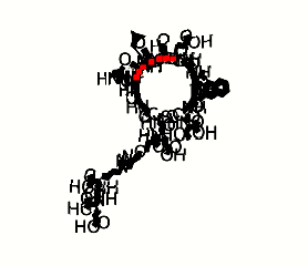 CC(C)[C@@H]1NC(=O)[C@@H]2CCCCn3cc(nn3)CC[C@H](NC(=O)[C@H](C)NC(=O)C[C@H](NC(=O)[C@H](CCC(=O)O)NC(=O)CCOCc3cn(CCCC[C@H](NC(=O)N[C@@H](CCC(=O)O)C(=O)O)C(=O)O)nn3)SCC[C@@H](C(=O)N[C@H](C(=O)O)C(C)O)NC(=O)[C@H](Cc3cc4ccccc4cn3)NC1=O)C(=O)N[C@@H](Cc1c[nH]cn1)C(=O)N[C@@H](CC1CC1)C(=O)NCC(=O)N[C@@H](CCC(=O)O)C(=O)N2